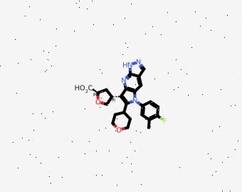 Cc1cc(-n2c(C3CCOCC3)c([C@@H]3CO[C@@H](C(=O)O)C3)c3nc4[nH]ncc4cc32)ccc1F